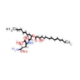 CCCCCCCCCCCC(O)CC(=O)OC(CCCCCCC)CC(=O)NC(CCC(N)O)C(=O)O